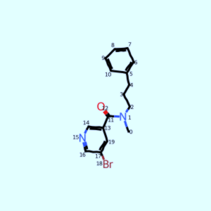 CN(CCCc1ccccc1)C(=O)c1cncc(Br)c1